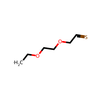 [CH2]COCCOCC=S